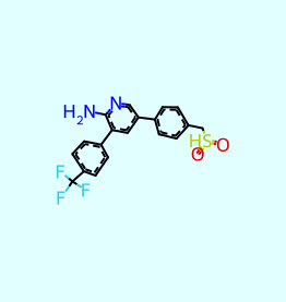 Nc1ncc(-c2ccc(C[SH](=O)=O)cc2)cc1-c1ccc(C(F)(F)F)cc1